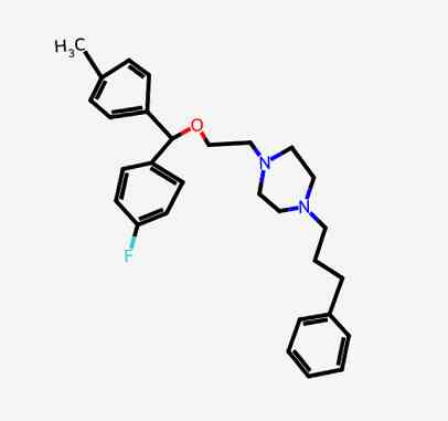 Cc1ccc(C(OCCN2CCN(CCCc3ccccc3)CC2)c2ccc(F)cc2)cc1